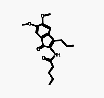 CCCCC(=O)NC1=C(CCC)c2cc(OC)c(OC)cc2C1=O